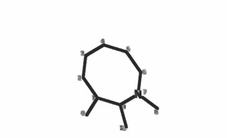 CC1CCCCCN(C)C1C